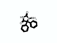 NN1C(=O)NC(=O)C1(c1ccccc1)c1ccccc1